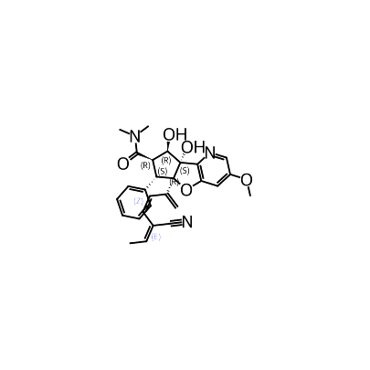 C=C(/C=C\C(C#N)=C/C)[C@@]12Oc3cc(OC)cnc3[C@]1(O)[C@H](O)[C@H](C(=O)N(C)C)[C@H]2c1ccccc1